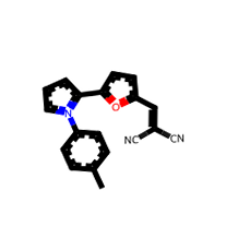 Cc1ccc(-n2cccc2-c2ccc(C=C(C#N)C#N)o2)cc1